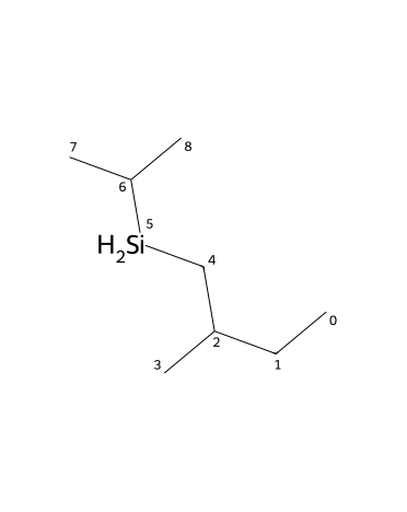 CCC(C)C[SiH2]C(C)C